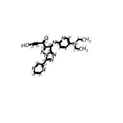 CCN(CC)c1ccc(/N=C2/C(C(=O)C#CO)=Nn3c2nnc3-c2cnccn2)nc1